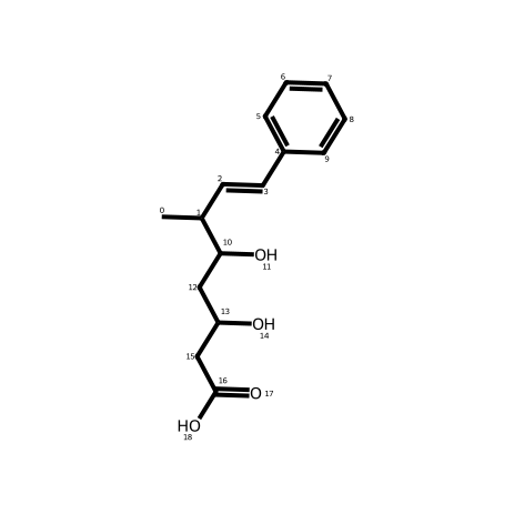 CC(/C=C/c1ccccc1)C(O)CC(O)CC(=O)O